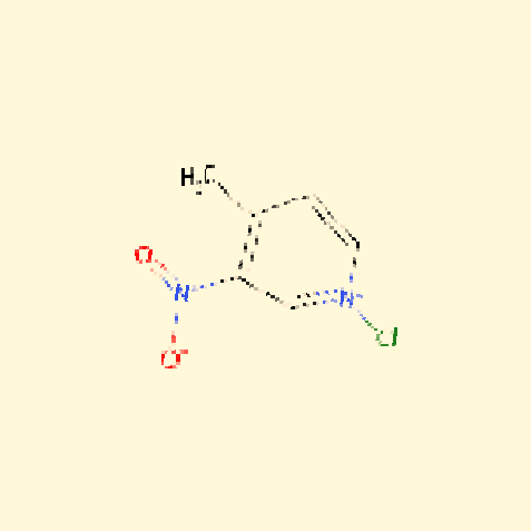 Cc1cc[n+](Cl)cc1[N+](=O)[O-]